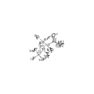 [NH]C(=O)C(F)(C(F)(F)F)C(F)(F)C(F)(F)F